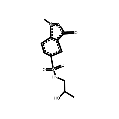 CC(O)CNS(=O)(=O)c1ccc2c(c1)c(=O)sn2C